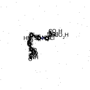 CC1(C)CC(/C=N/c2cccc(-c3sc(C(=O)O)c(OCC(=O)O)c3Cl)c2)CCN1SCc1cccc(NC(=O)CN2CCC(c3ccc4c(c3)oc(=O)n4C3CCC(=O)NC3=O)CC2)c1